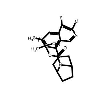 Cc1cc2c(F)c(Cl)ncc2c(N2CC3CCC(C2)N3C(=O)OC(C)(C)C)n1